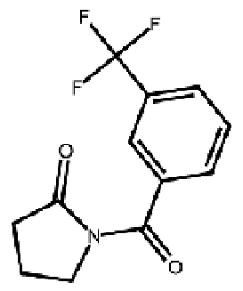 O=C1CCCN1C(=O)c1cccc(C(F)(F)F)c1